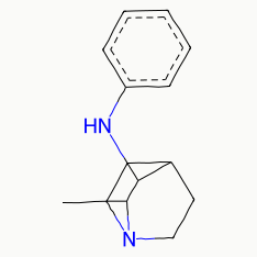 CC1C(Nc2ccccc2)C2CCN1CC2